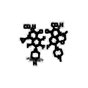 CN1CCN(c2c(F)cc3c(=O)c(C(=O)O)cn4c3c2OCN4C)CC1.C[C@@H]1CN(c2c(F)c(F)c3c(=O)c(C(=O)O)cn(C4CC4)c3c2F)C[C@H](C)N1